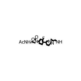 CC(=O)NC[C@H]1CN(c2ccc(-c3ccc4nc(C=N)cn4c3)c(F)c2)C(=O)O1